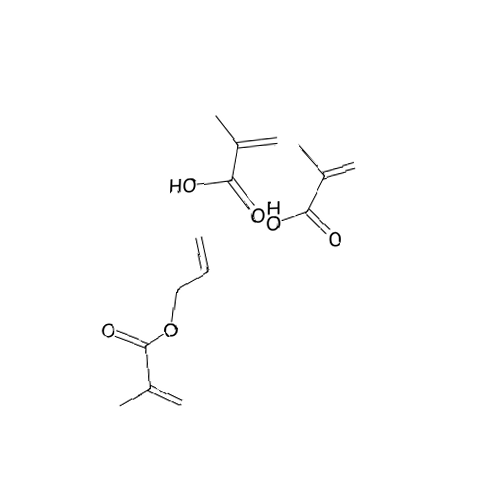 C=C(C)C(=O)O.C=C(C)C(=O)O.C=CCOC(=O)C(=C)C